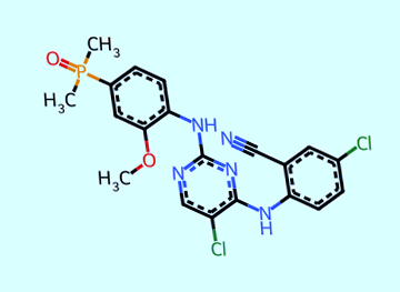 COc1cc(P(C)(C)=O)ccc1Nc1ncc(Cl)c(Nc2ccc(Cl)cc2C#N)n1